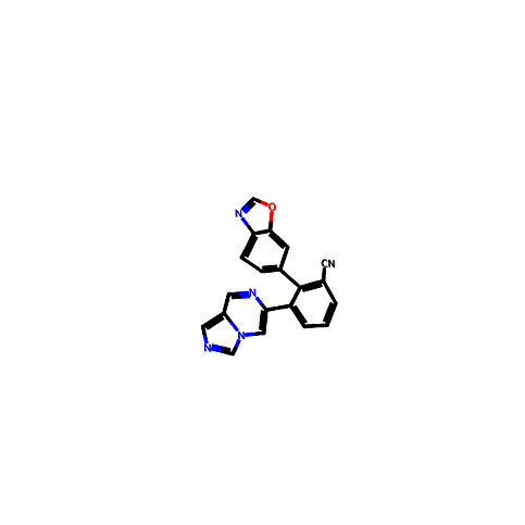 N#Cc1cccc(-c2cn3cncc3cn2)c1-c1ccc2ncoc2c1